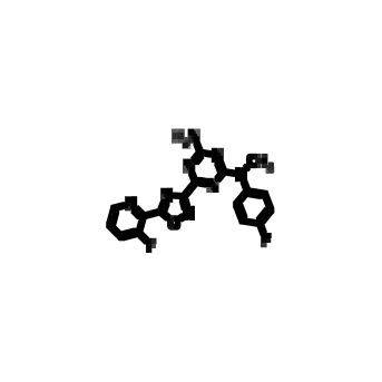 CN(c1ccc(F)cc1)c1nc(N)nc(-c2noc(-c3ncccc3F)n2)n1